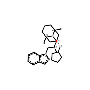 C[C@H](CN1[C@@H]2CCC[C@H]1C[C@@H](OC1CCCC1)C2)Cn1ncc2ccccc21